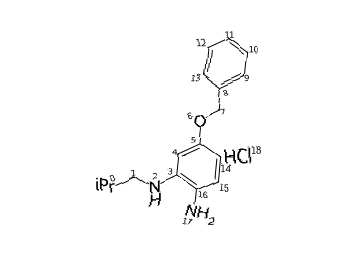 CC(C)CNc1cc(OCc2ccccc2)ccc1N.Cl